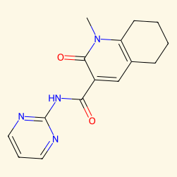 Cn1c2c(cc(C(=O)Nc3ncccn3)c1=O)CCCC2